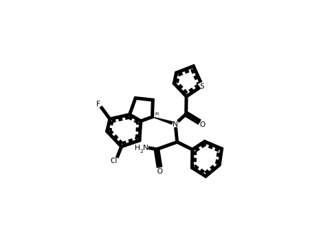 NC(=O)C(c1ccccc1)N(C(=O)c1cccs1)[C@@H]1CCc2c(F)cc(Cl)cc21